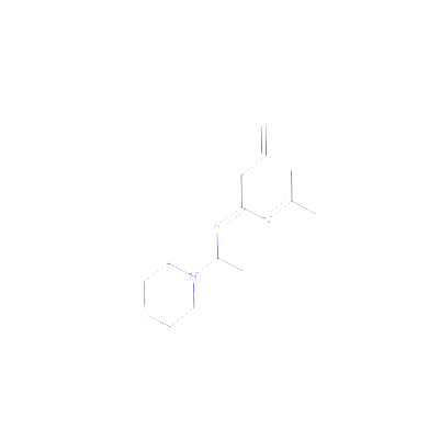 C=CCC(N=C(C)C)=NC(C)N1CCOCC1